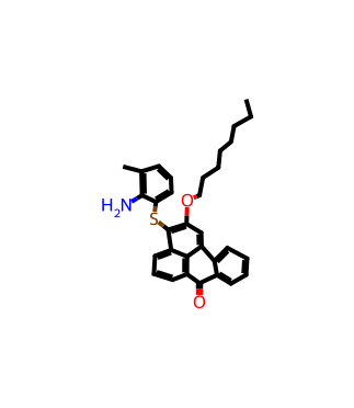 CCCCCCCCOc1cc2c3c(cccc3c1Sc1cccc(C)c1N)C(=O)c1ccccc1-2